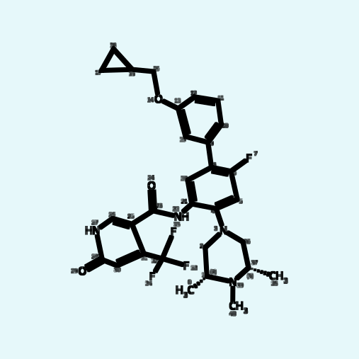 C[C@@H]1CN(c2cc(F)c(-c3cccc(OCC4CC4)c3)cc2NC(=O)c2c[nH]c(=O)cc2C(F)(F)F)C[C@H](C)N1C